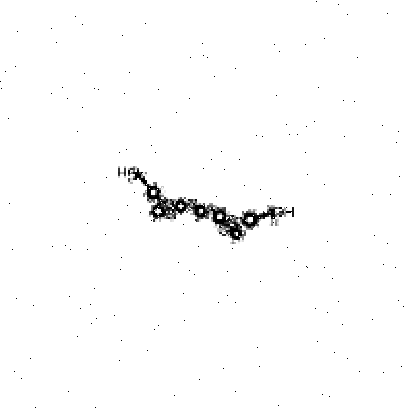 CC(C)(O)C#Cc1ccc(Oc2ccccc2S(=O)(=O)c2ccc(Oc3cccc(Oc4ccc(S(=O)(=O)c5ccccc5Oc5ccc(C#CC(C)(C)O)cc5)cc4)c3)cc2)cc1